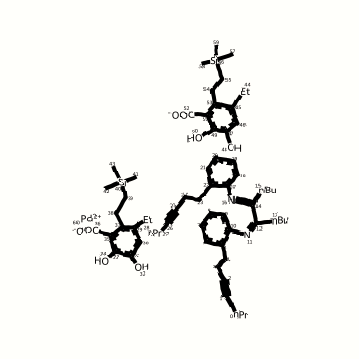 CCCC#CCCc1ccccc1N=C(CCCC)C(CCCC)=Nc1ccccc1CCC#CCCC.CCc1cc(O)c(O)c(C(=O)[O-])c1CC[Si](C)(C)C.CCc1cc(O)c(O)c(C(=O)[O-])c1CC[Si](C)(C)C.[Pd+2]